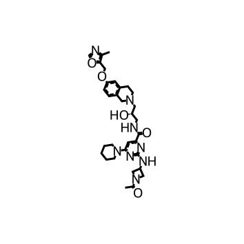 CC(=O)N1CC(Nc2nc(C(=O)NC[C@H](O)CN3CCc4cc(OCc5ocnc5C)ccc4C3)cc(N3CCCCC3)n2)C1